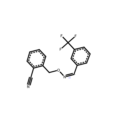 N#Cc1ccccc1CO/N=[C]\c1cccc(C(F)(F)F)c1